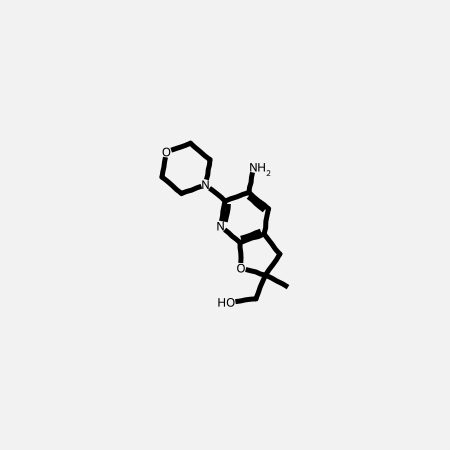 CC1(CO)Cc2cc(N)c(N3CCOCC3)nc2O1